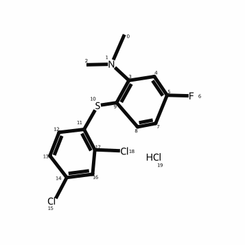 CN(C)c1cc(F)ccc1Sc1ccc(Cl)cc1Cl.Cl